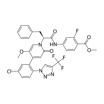 COC(=O)c1ccc(NC(=O)[C@H](Cc2ccccc2)n2cc(OC)c(-c3cc(Cl)ccc3-n3cc(C(F)(F)F)nn3)cc2=O)cc1F